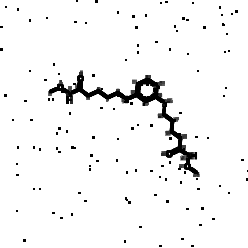 CONC(=O)CCCCSc1ccnc(SCCCCC(=O)NOC)c1